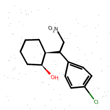 O=[N+]([O-])CC(c1ccc(Cl)cc1)[C@@H]1CCCC[C@@H]1O